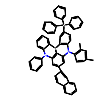 Cc1ccc(N2c3ccc([Si](c4ccccc4)(c4ccccc4)c4ccccc4)cc3B3c4ccccc4N(c4ccccc4)c4cc(-c5ccc6ccccc6c5)cc2c43)c(C)c1